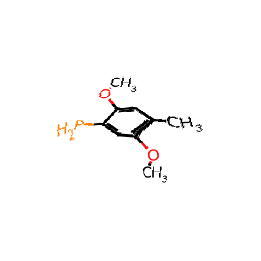 COc1cc(P)c(OC)cc1C